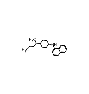 CCCC(C)C1CCC(Nc2cccc3ccccc23)CC1